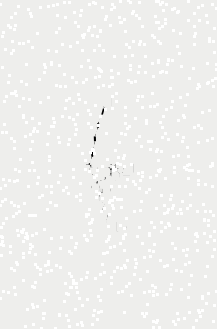 CC#CC#CC#CC#CC(=O)OC[C@H](COP(=O)(O)O)OC(=O)CCCCCCCCCCCCCCC